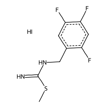 CSC(=N)NCc1cc(F)c(F)cc1F.I